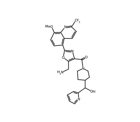 COc1ccc(-c2nc(C(=O)N3CCC(C(O)c4ccccn4)CC3)c(CN)o2)c2ccc(C(F)(F)F)nc12